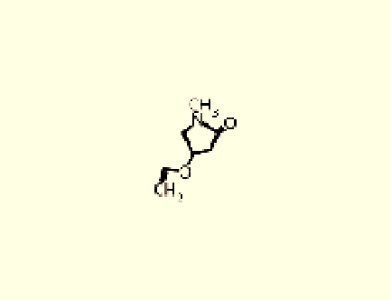 C=COC1CC(=O)N(C)C1